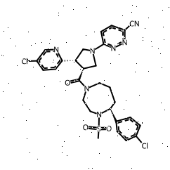 CS(=O)(=O)N1CCN(C(=O)[C@@H]2CN(c3ccc(C#N)nn3)C[C@H]2c2ccc(Cl)cn2)CCC[C@H]1c1ccc(Cl)cc1